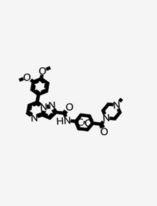 COc1ccc(-c2ccnc3cc(C(=O)NC45CCC(C(=O)N6CCN(C)CC6)(CC4)CC5)nn23)cc1OC